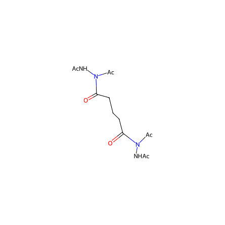 CC(=O)NN(C(C)=O)C(=O)CCCC(=O)N(NC(C)=O)C(C)=O